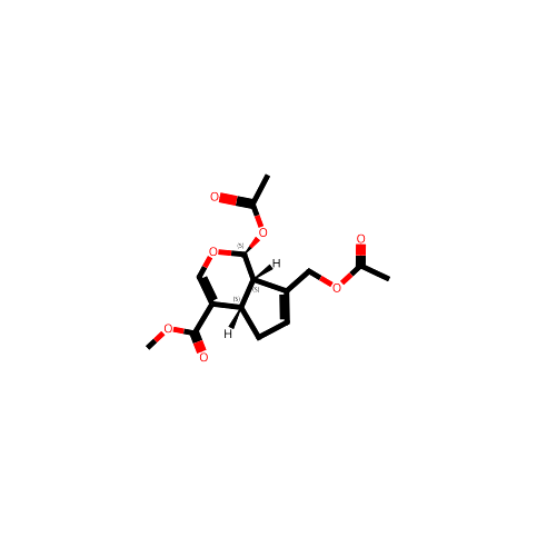 COC(=O)C1=CO[C@@H](OC(C)=O)[C@@H]2C(COC(C)=O)=CC[C@H]12